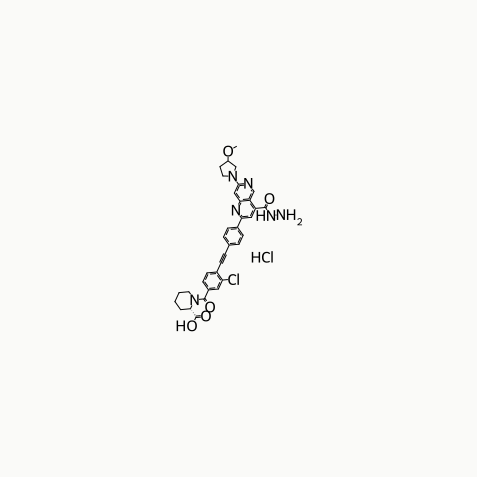 COC1CCN(c2cc3nc(-c4ccc(C#Cc5ccc(C(=O)N6CCCC[C@H]6C(=O)O)cc5Cl)cc4)cc(C(=O)NN)c3cn2)C1.Cl